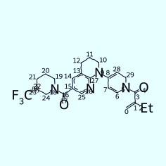 C=C(CC)C(=O)N1C=CC(N2CCCc3cc(C(=O)N4CCC[C@@H](C(F)(F)F)C4)cnc32)=CC1